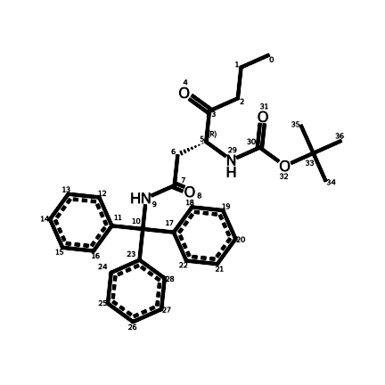 CCCC(=O)[C@@H](CC(=O)NC(c1ccccc1)(c1ccccc1)c1ccccc1)NC(=O)OC(C)(C)C